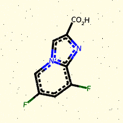 O=C(O)c1cn2cc(F)cc(F)c2n1